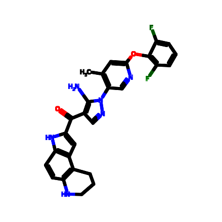 Cc1cc(Oc2c(F)cccc2F)ncc1-n1ncc(C(=O)c2cc3c4c(ccc3[nH]2)NCCC4)c1N